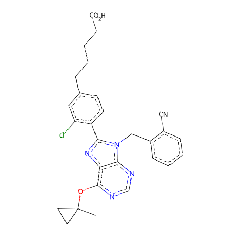 CC1(Oc2ncnc3c2nc(-c2ccc(CCCCC(=O)O)cc2Cl)n3Cc2ccccc2C#N)CC1